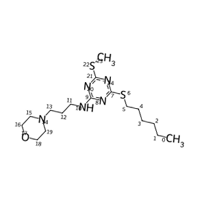 CCCCCCSc1nc(NCCCN2CCOCC2)nc(SC)n1